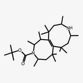 CC1CC(C)(C)/C2=C(\C(C)(C)CC(C)N1)C(C)(C)CC(C)N(C(=O)OC(C)(C)C)C(C)C2C